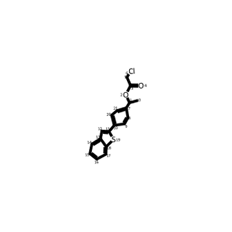 CC(OC(=O)CCl)c1ccc(-c2cc3ccccc3s2)cc1